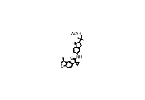 C=C1COc2ccc(C3(C(=O)Nc4ccc5c(c4)CC(C(C)(C)CNC(C)=O)N5)CC3)cc21